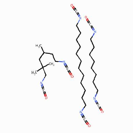 CC(CCN=C=O)CC(C)(C)CN=C=O.O=C=NCCCCCCCCCCCCN=C=O.O=C=NCCCCCCCCN=C=O